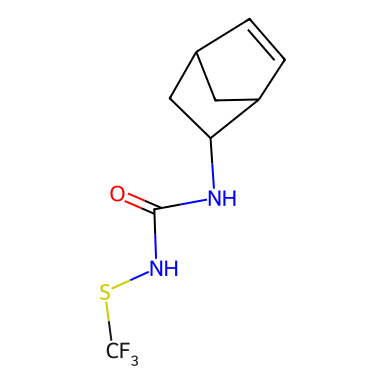 O=C(NSC(F)(F)F)NC1CC2C=CC1C2